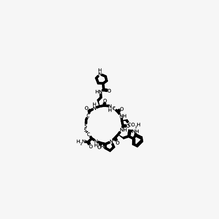 NC(=O)C1CSSCCC(=O)N[C@@H](CCNC(=O)C2CCNCC2)C(=O)NCC(=O)N[C@@H](CC(=O)O)C(=O)N[C@@H](Cc2c[nH]c3ccccc23)C(=O)N2CCC[C@H]2C(=O)N1